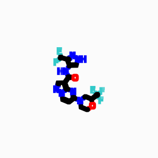 O=C(Nc1c[nH]nc1C(F)F)c1cnn2ccc(N3CCOC(C(F)(F)F)C3)nc12